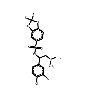 CN(C)CC(NS(=O)(=O)c1ccc2c(c1)OC(F)(F)O2)c1ccc(Cl)c(Cl)c1